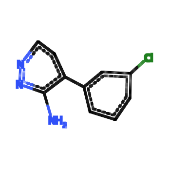 Nc1nnccc1-c1cccc(Cl)c1